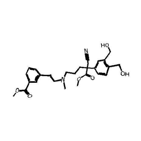 COC(=O)c1cccc(CCN(C)CCCC(C#N)(C(=O)OC)c2ccc(CO)c(CO)c2)c1